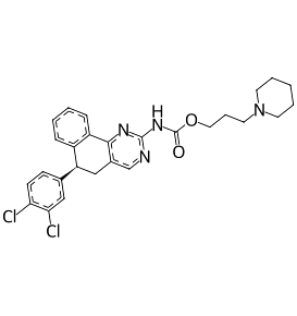 O=C(Nc1ncc2c(n1)-c1ccccc1[C@H](c1ccc(Cl)c(Cl)c1)C2)OCCCN1CCCCC1